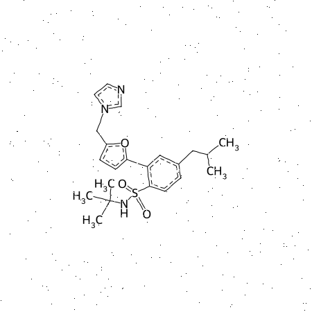 CC(C)Cc1ccc(S(=O)(=O)NC(C)(C)C)c(-c2ccc(Cn3ccnc3)o2)c1